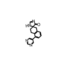 O=C1N=CNC12CCc1c(cccc1-c1cncnc1)C2